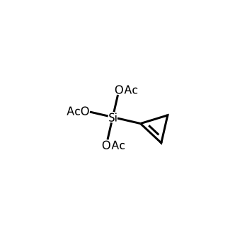 CC(=O)O[Si](OC(C)=O)(OC(C)=O)C1=CC1